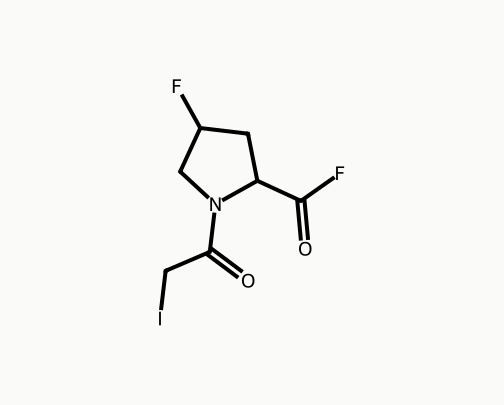 O=C(F)C1CC(F)CN1C(=O)CI